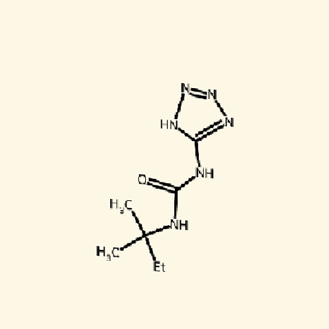 CCC(C)(C)NC(=O)Nc1nnn[nH]1